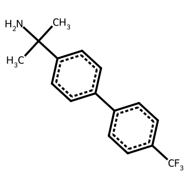 CC(C)(N)c1ccc(-c2ccc(C(F)(F)F)cc2)cc1